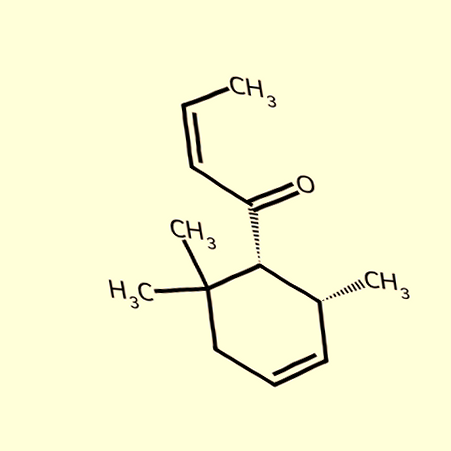 C/C=C\C(=O)[C@@H]1[C@H](C)C=CCC1(C)C